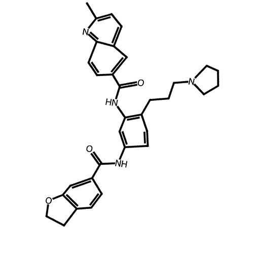 Cc1ccc2cc(C(=O)Nc3cc(NC(=O)c4ccc5c(c4)OCC5)ccc3CCCN3CCCC3)ccc2n1